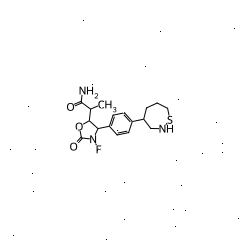 CC(C(N)=O)C1OC(=O)N(F)C1c1ccc(C2CCCSNC2)cc1